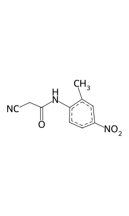 Cc1cc([N+](=O)[O-])ccc1NC(=O)CC#N